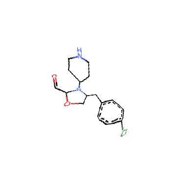 O=CC1OCC(Cc2ccc(Cl)cc2)N1C1CCNCC1